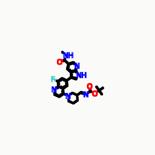 CNC(=O)c1cnc2[nH]cc(-c3cc(F)c4nccc(N5CCCC(/C=N/C(=O)OC(C)(C)C)C5)c4c3)c2c1